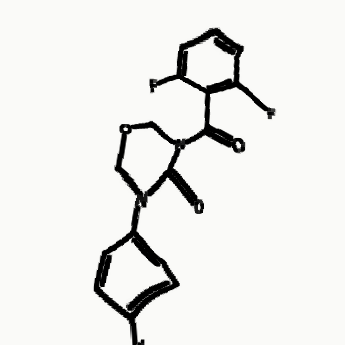 O=C(c1c(F)cccc1F)N1COCN(c2ccc(Cl)cc2)C1=O